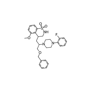 COc1cccc2c1C(CC(COCc1ccccc1)N1CCN(c3ccccc3F)CC1)CNS2(=O)=O